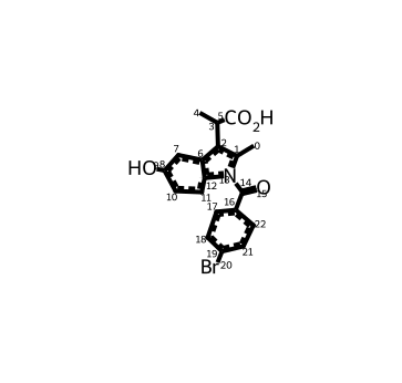 Cc1c(C(C)C(=O)O)c2cc(O)ccc2n1C(=O)c1ccc(Br)cc1